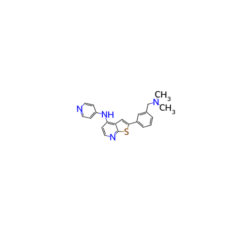 CN(C)Cc1cccc(-c2cc3c(Nc4ccncc4)ccnc3s2)c1